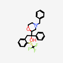 O[C@](Cc1ccccc1SC(F)(F)F)(c1ccccc1)C1CN(Cc2ccccc2)CCO1